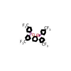 FC(F)(F)c1ccc(P(O[C@@H]2CCCC[C@H]2OP(c2ccc(C(F)(F)F)cc2)c2ccc(C(F)(F)F)cc2)c2ccc(C(F)(F)F)cc2)cc1